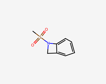 CS(=O)(=O)N1Cc2ccccc21